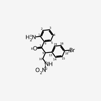 Nc1ccccc1C(=O)C(CN[N+](=O)[O-])c1ccc(Br)cc1